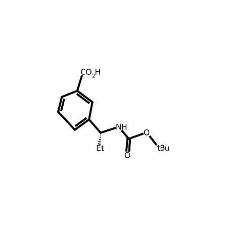 CC[C@@H](NC(=O)OC(C)(C)C)c1cccc(C(=O)O)c1